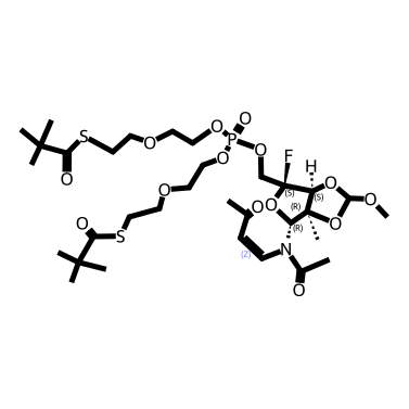 COC1O[C@H]2[C@@](C)(O1)[C@H](N(/C=C\C(C)=O)C(C)=O)O[C@]2(F)COP(=O)(OCCOCCSC(=O)C(C)(C)C)OCCOCCSC(=O)C(C)(C)C